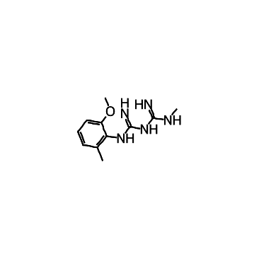 CNC(=N)NC(=N)Nc1c(C)cccc1OC